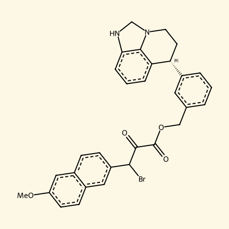 COc1ccc2cc(C(Br)C(=O)C(=O)OCc3cccc([C@H]4CCN5CNc6cccc4c65)c3)ccc2c1